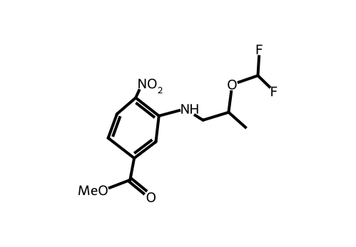 COC(=O)c1ccc([N+](=O)[O-])c(NCC(C)OC(F)F)c1